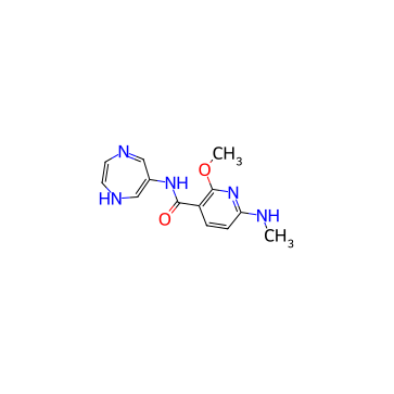 CNc1ccc(C(=O)NC2=CNC=CN=C2)c(OC)n1